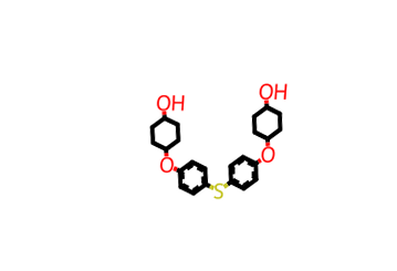 OC1CCC(Oc2ccc(Sc3ccc(OC4CCC(O)CC4)cc3)cc2)CC1